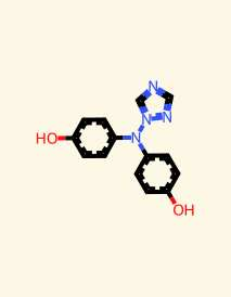 Oc1ccc(N(c2ccc(O)cc2)n2cncn2)cc1